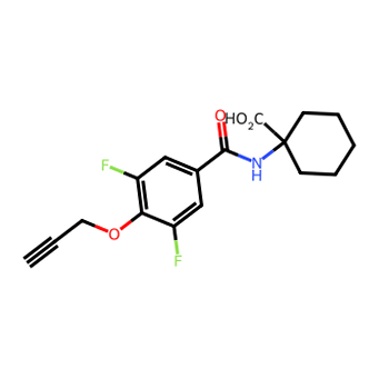 C#CCOc1c(F)cc(C(=O)NC2(C(=O)O)CCCCC2)cc1F